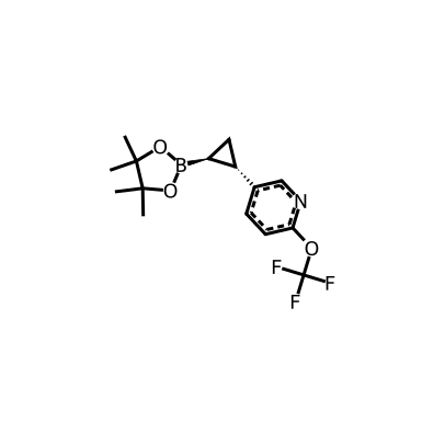 CC1(C)OB([C@H]2C[C@@H]2c2ccc(OC(F)(F)F)nc2)OC1(C)C